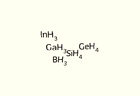 B.[GaH3].[GeH4].[InH3].[SiH4]